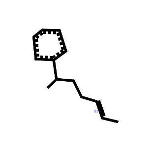 C/C=C/CCC(C)c1ccccc1